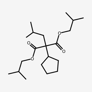 CC(C)COC(=O)C(CC(C)C)(C(=O)OCC(C)C)C1CCCC1